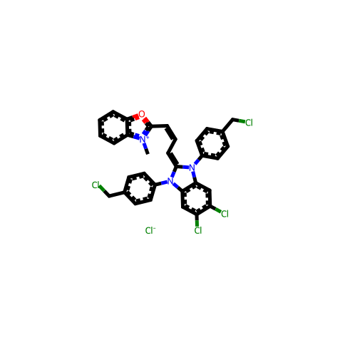 C[n+]1c(/C=C\C=C2N(c3ccc(CCl)cc3)c3cc(Cl)c(Cl)cc3N2c2ccc(CCl)cc2)oc2ccccc21.[Cl-]